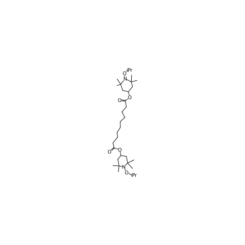 CC(C)ON1C(C)(C)CC(OC(=O)CCCCCCCCC(=O)OC2CC(C)(C)N(OC(C)C)C(C)(C)C2)CC1(C)C